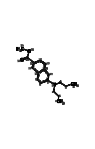 CCCN(CCC)c1ccc2cc(C(=O)OC)ccc2c1